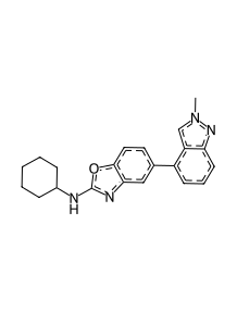 Cn1cc2c(-c3ccc4oc(NC5CCCCC5)nc4c3)cccc2n1